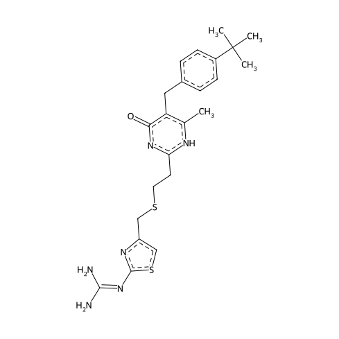 Cc1[nH]c(CCSCc2csc(N=C(N)N)n2)nc(=O)c1Cc1ccc(C(C)(C)C)cc1